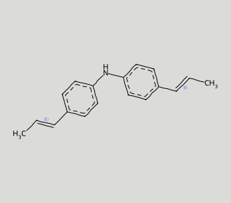 C/C=C/c1ccc(Nc2ccc(/C=C/C)cc2)cc1